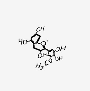 COc1cc(-c2[o+]c3cc(O)cc(O)c3cc2O)cc(O)c1O